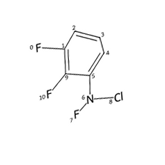 Fc1cccc(N(F)Cl)c1F